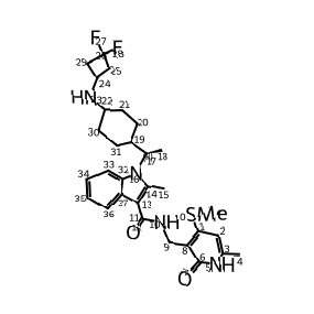 CSc1cc(C)[nH]c(=O)c1CNC(=O)c1c(C)n([C@H](C)C2CCC(NC3CC(F)(F)C3)CC2)c2ccccc12